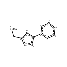 CC(C)COCc1csc(-c2cccnc2)n1